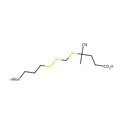 CCCCCCCCCCCCSSCSC(C)(C#N)CCC(=O)O